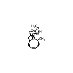 COC(=O)NC1=C2/C(=C\CSS)C(C#C/C=C\C#C[C@@H]2C)CC1=O